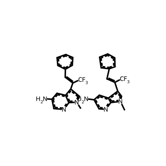 Cn1cc(C(=Cc2ccccc2)C(F)(F)F)c2cc(N)cnc21.Cn1cc(C(=Cc2ccccc2)C(F)(F)F)c2cc([N+](=O)[O-])cnc21